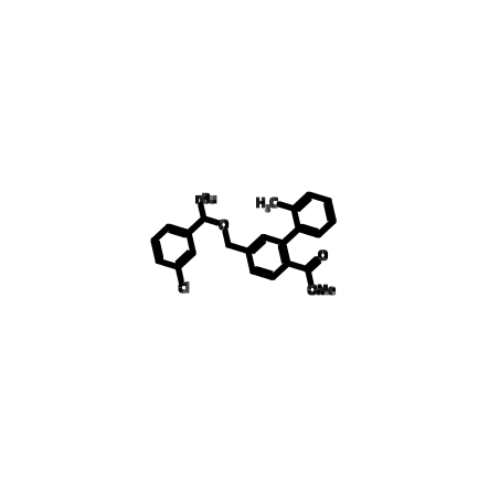 CCCCC(OCc1ccc(C(=O)OC)c(-c2ccccc2C)c1)c1cccc(Cl)c1